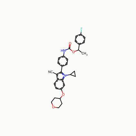 CC(OC(=O)Nc1ccc(-c2c(C#N)c3ccc(OC4CCOCC4)cc3n2C2CC2)cc1)c1ccc(F)cc1